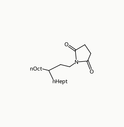 CCCCCCCCC(CCCCCCC)CCN1C(=O)CCC1=O